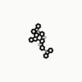 c1ccc2c(c1)cc(-c1c3oc4ccc(-n5c6ccccc6c6ccccc65)cc4c3cc3oc4ccc(-n5c6ccccc6c6ccccc65)cc4c13)c1ccccc12